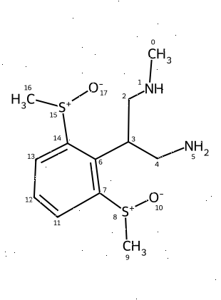 CNCC(CN)c1c([S+](C)[O-])cccc1[S+](C)[O-]